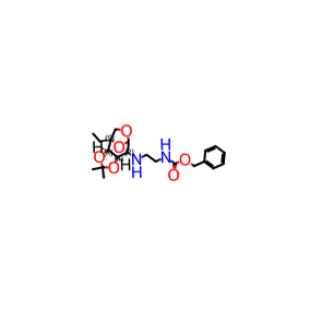 CC[C@@]12COC(O1)[C@H](NCCNC(=O)OCc1ccccc1)[C@H]1OC(C)(C)O[C@H]12